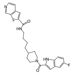 O=C(NCCCCC1CCN(C(=O)c2cc3cc(F)ccc3[nH]2)CC1)c1cc2ccncc2s1